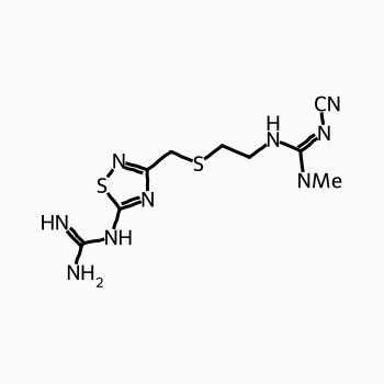 CN/C(=N/C#N)NCCSCc1nsc(NC(=N)N)n1